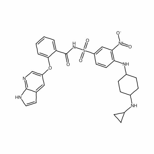 O=C(NS(=O)(=O)c1ccc(NC2CCC(NC3CC3)CC2)c([N+](=O)[O-])c1)c1ccccc1Oc1cnc2[nH]ccc2c1